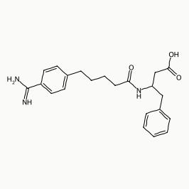 N=C(N)c1ccc(CCCCC(=O)NC(CC(=O)O)Cc2ccccc2)cc1